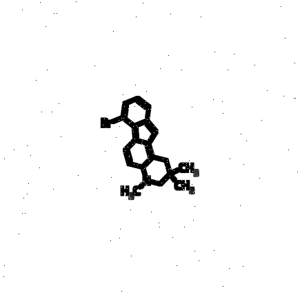 CN1CC(C)(C)CC2=C3C=c4cccc(Br)c4=C3C=CC21